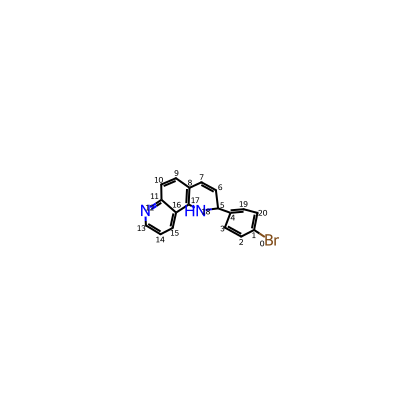 Brc1ccc(C2C=Cc3ccc4ncccc4c3N2)cc1